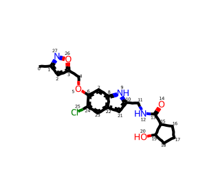 Cc1cc(COc2cc3[nH]c(CNC(=O)C4CCCC4O)cc3cc2Cl)on1